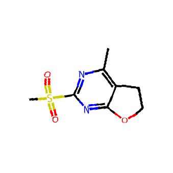 Cc1nc(S(C)(=O)=O)nc2c1CCO2